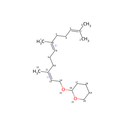 CC(C)=CCC/C(C)=C/CC/C(C)=C\COC1CCCCO1